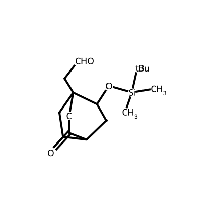 CC(C)(C)[Si](C)(C)OC1CC2CCC1(CC=O)CC2=O